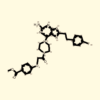 COC(=O)c1ccc(OCC(=O)N2CCN(c3nc(N)nc4sc(CCc5ccc(F)cc5)nc34)CC2)cc1